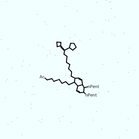 CCCCCC1C=CC2C(C=CC(CCCCCCCC(=C3CCC3)C3CCCC3)C2CCCCCCCC(C)=O)C1CCCCC